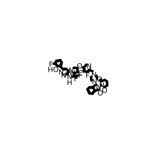 Cc1c(O[C@H]2CN3c4cc(-c5cccc(F)c5O)nnc4NC[C@@]3(C(F)F)C2)cnc(CN2CCN(C3c4ccccc4C(=O)N3N3C(=O)CCCC3=O)CC2)c1F